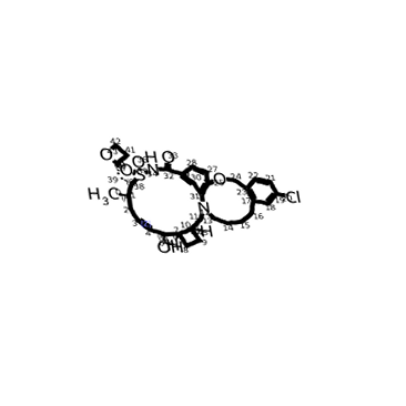 C[C@@H]1C/C=C\[C@H](O)[C@@H]2CC[C@H]2CN2CCCCc3cc(Cl)ccc3COc3ccc(cc32)C(=O)NS(=O)(=O)[C@H]1C[C@H]1CCO1